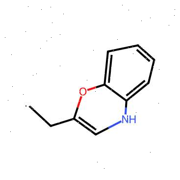 [CH2]CC1=CNc2ccccc2O1